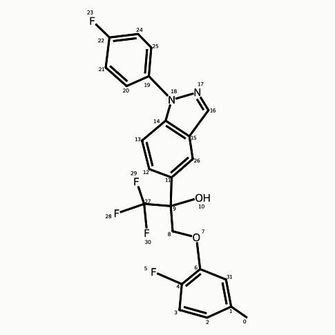 Cc1ccc(F)c(OCC(O)(c2ccc3c(cnn3-c3ccc(F)cc3)c2)C(F)(F)F)c1